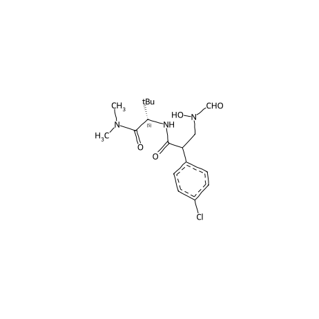 CN(C)C(=O)[C@@H](NC(=O)C(CN(O)C=O)c1ccc(Cl)cc1)C(C)(C)C